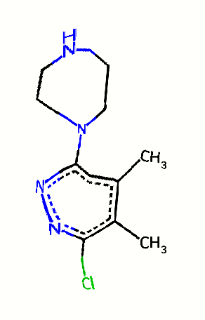 Cc1c(Cl)nnc(N2CCNCC2)c1C